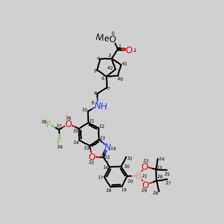 COC(=O)C12CCC(CCNCc3cc4nc(-c5cccc(B6OC(C)(C)C(C)(C)O6)c5C)oc4cc3OC(F)F)(CC1)C2